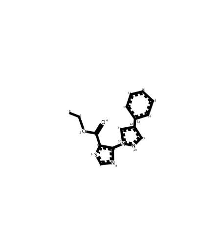 CCOC(=O)c1scnc1-n1cc(-c2ccccc2)cn1